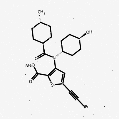 COC(=O)c1sc(C#CC(C)C)cc1N(C(=O)[C@H]1CC[C@H](C)CC1)[C@H]1CC[C@H](O)CC1